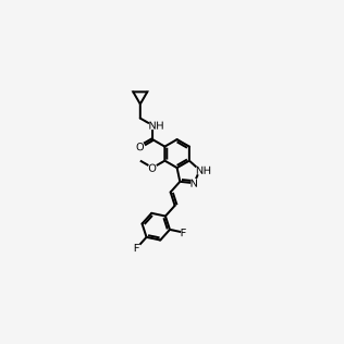 COc1c(C(=O)NCC2CC2)ccc2[nH]nc(/C=C/c3ccc(F)cc3F)c12